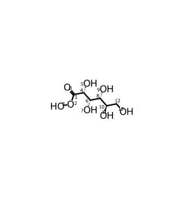 O=C(OO)[C@H](O)[C@@H](O)[C@H](O)[C@H](O)CO